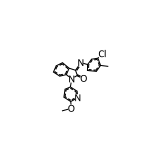 COc1ccc(N2C(=O)C(=Nc3ccc(C)c(Cl)c3)c3ccccc32)cn1